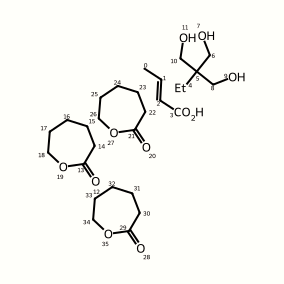 CC=CC(=O)O.CCC(CO)(CO)CO.O=C1CCCCCO1.O=C1CCCCCO1.O=C1CCCCCO1